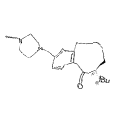 CC[C@@H](C)[C@@H]1CCCCc2cc(N3CCN(C)CC3)ccc2C1=O